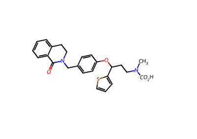 CN(CCC(Oc1ccc(CN2CCc3ccccc3C2=O)cc1)c1cccs1)C(=O)O